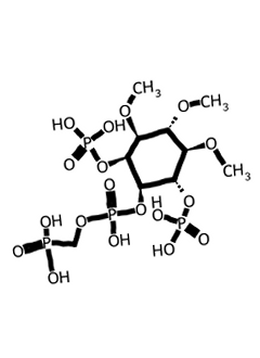 CO[C@@H]1[C@@H](OC)[C@H](OP(=O)(O)O)[C@@H](OP(=O)(O)OCP(=O)(O)O)[C@@H](OP(=O)(O)O)[C@H]1OC